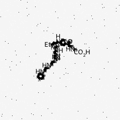 CCc1cc(NC2CCN(C(=O)CCNCC(=O)O)CC2)nc(NCc2nnn(CCCNCCCNC3CCCCC3)n2)n1